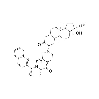 C#C[C@]1(O)CCC2[C@@H]3CCC4CC(=O)[C@@H](N5CCN(C(=O)[C@H](C)N(CCC)C(=O)c6ccc7ccccc7n6)CC5)C[C@]4(C)C3CC[C@@]21C